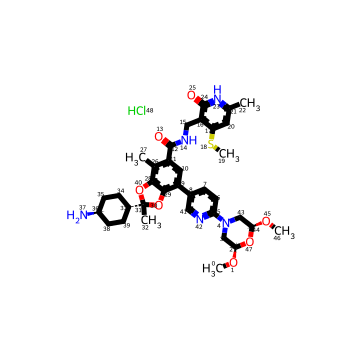 CO[C@H]1CN(c2ccc(-c3cc(C(=O)NCc4c(SC)cc(C)[nH]c4=O)c(C)c4c3OC(C)([C@H]3CC[C@H](N)CC3)O4)cn2)C[C@@H](OC)O1.Cl